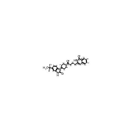 CC(F)(F)c1ccc2c(c1)[nH]c(=O)n2C1CCN(C(=O)CCCc2nc3ccccc3c(=O)[nH]2)CC1